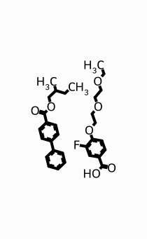 CCC(C)COC(=O)c1ccc(-c2ccccc2)cc1.CCOCCOCCOc1ccc(C(=O)O)cc1F